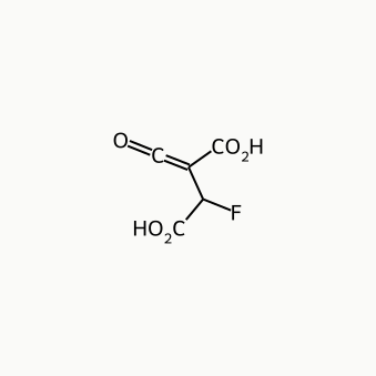 O=C=C(C(=O)O)C(F)C(=O)O